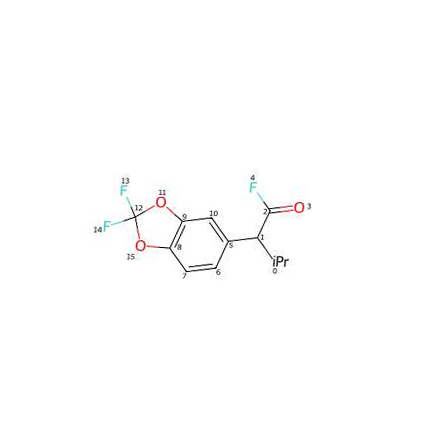 CC(C)C(C(=O)F)c1ccc2c(c1)OC(F)(F)O2